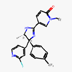 CCn1cc(C2=N[C@](c3ccc(C(F)(F)F)cc3)(c3ccnc(F)c3)[C@H](C)N2)ccc1=O